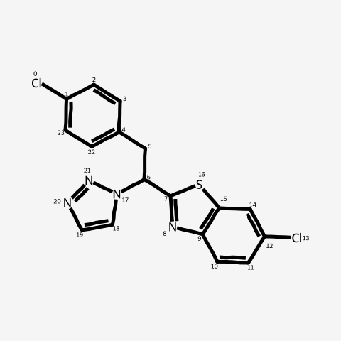 Clc1ccc(CC(c2nc3ccc(Cl)cc3s2)n2ccnn2)cc1